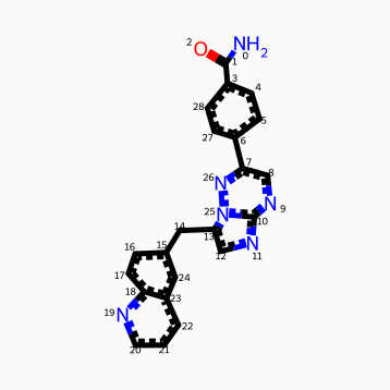 NC(=O)c1ccc(-c2cnc3ncc(Cc4ccc5ncccc5c4)n3n2)cc1